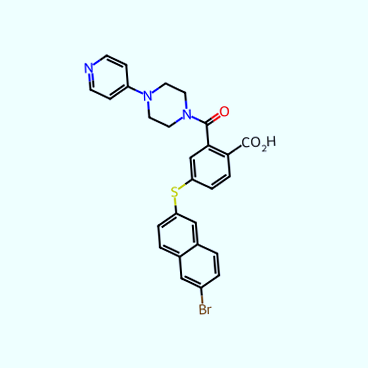 O=C(O)c1ccc(Sc2ccc3cc(Br)ccc3c2)cc1C(=O)N1CCN(c2ccncc2)CC1